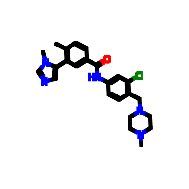 Cc1ccc(C(=O)Nc2ccc(CN3CCN(C)CC3)c(Cl)c2)cc1-c1cncn1C